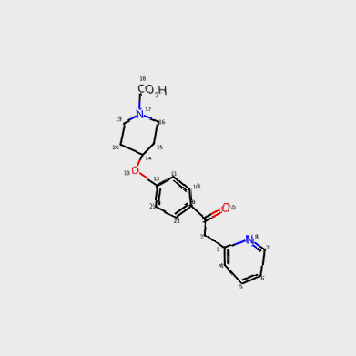 O=C(Cc1ccccn1)c1ccc(OC2CCN(C(=O)O)CC2)cc1